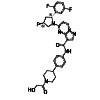 O=C(Nc1ccc(C2CCN(C(=O)CO)CC2)cc1)c1cnn2ccc(N3C[C@@H](F)C[C@@H]3c3cc(F)ccc3F)nc12